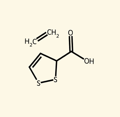 C=C.O=C(O)C1C=CSS1